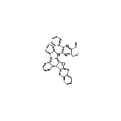 C=Cc1nc(-c2ccccc2)c(-n2c3ccccc3c3c4ccccc4c4c5cc6ccccc6cc5oc4c32)nc1/C=C\C